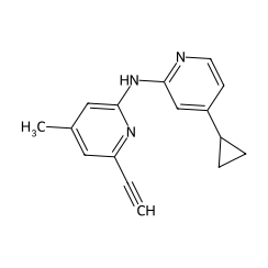 C#Cc1cc(C)cc(Nc2cc(C3CC3)ccn2)n1